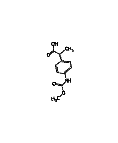 COC(=O)Nc1ccc(C(C)C(=O)O)cc1